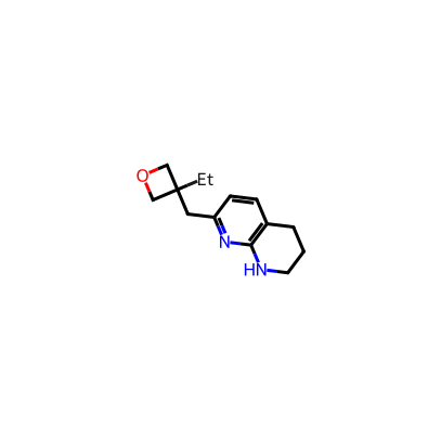 CCC1(Cc2ccc3c(n2)NCCC3)COC1